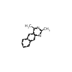 Cc1nc(C)c2cc3ccccc3cc2n1